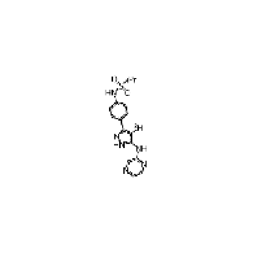 [2H]c1c(-c2ccc(NS(=O)(=O)C(C)C)cc2)n[nH]c1Nc1cnccn1